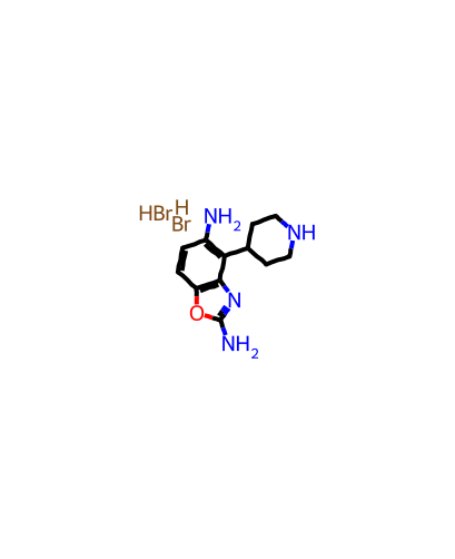 Br.Br.Nc1nc2c(C3CCNCC3)c(N)ccc2o1